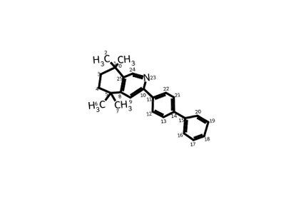 CC1(C)CCC(C)(C)c2cc(-c3ccc(-c4ccccc4)cc3)ncc21